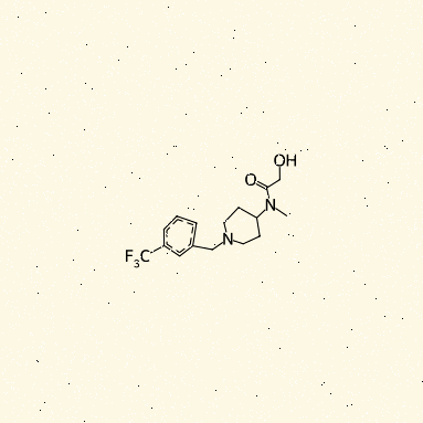 CN(C(=O)CO)C1CCN(Cc2cccc(C(F)(F)F)c2)CC1